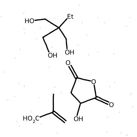 C=C(C)C(=O)O.CCC(CO)(CO)CO.O=C1CC(O)C(=O)O1